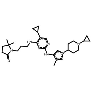 Cc1nn(C2CCN(C3CC3)CC2)cc1Nc1ncc(C2CC2)c(NCCCN2C(=O)CCC2(C)C)n1